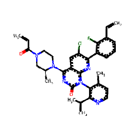 C=CC(=O)N1CCN(c2nc(=O)n(-c3c(C)ccnc3C(C)C)c3nc(-c4cccc(C=C)c4F)c(Cl)cc23)[C@@H](C)C1